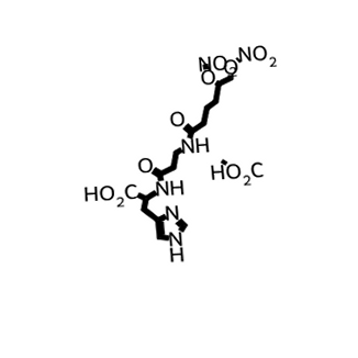 CC(=O)O.O=C(CCCC(CO[N+](=O)[O-])O[N+](=O)[O-])NCCC(=O)NC(Cc1c[nH]cn1)C(=O)O